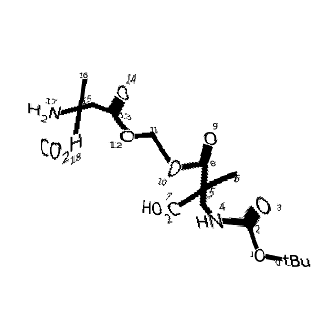 CC(C)(C)OC(=O)NC(C)(C(=O)O)C(=O)OCOC(=O)C(C)(N)C(=O)O